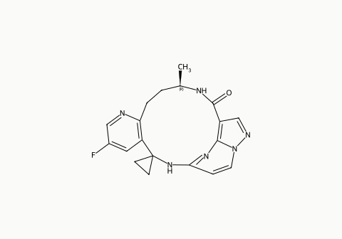 C[C@@H]1CCc2ncc(F)cc2C2(CC2)Nc2ccn3ncc(c3n2)C(=O)N1